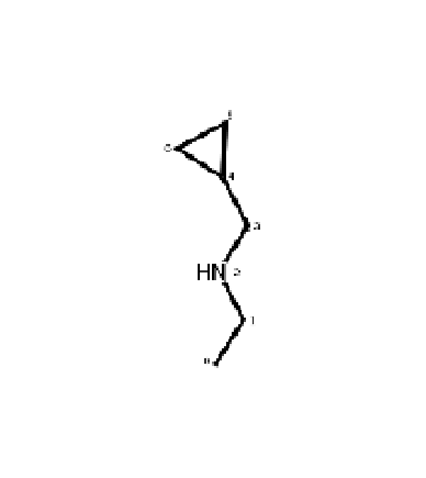 CCN[CH]C1CC1